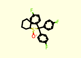 [O-][S+](C1CCCCC1)C(c1ccc(F)cc1)(c1ccc(F)cc1)c1ccc(F)cc1